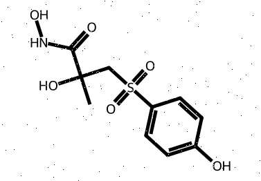 CC(O)(CS(=O)(=O)c1ccc(O)cc1)C(=O)NO